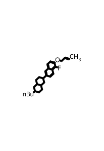 CC=CCOc1ccc2cc(C3CCC4CC(CCCC)CCC4C3)ccc2c1F